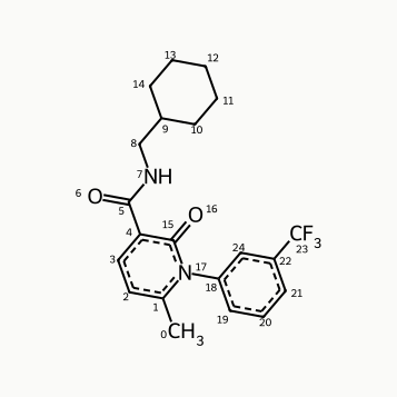 Cc1ccc(C(=O)NCC2CCCCC2)c(=O)n1-c1cccc(C(F)(F)F)c1